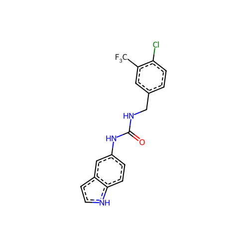 O=C(NCc1ccc(Cl)c(C(F)(F)F)c1)Nc1ccc2[nH]ccc2c1